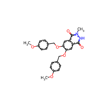 COc1ccc(COc2cc3c(=O)[nH]n(C)c(=O)c3cc2OCc2ccc(OC)cc2)cc1